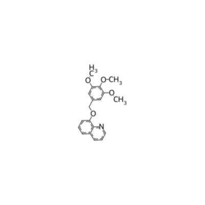 COc1cc(COc2cccc3cccnc23)cc(OC)c1OC